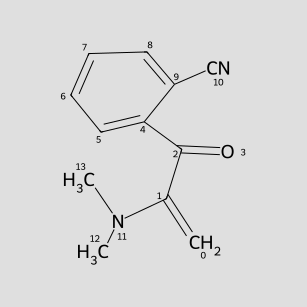 C=C(C(=O)c1ccccc1C#N)N(C)C